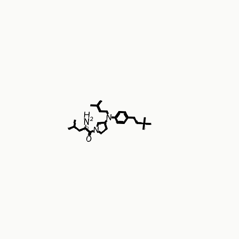 CC(C)CCN(c1ccc(CCC(C)(C)C)cc1)C1CCN(C(=O)[C@@H](N)CC(C)C)C1